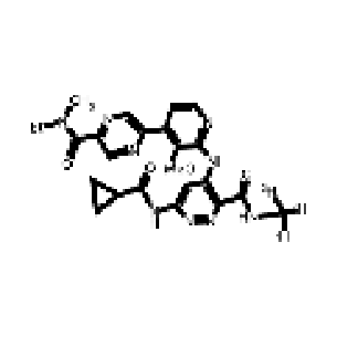 [2H]C([2H])([2H])NC(=O)c1nnc(NC(=O)C2CC2)cc1Nc1nccc(-c2cnc(C(=O)N(C)CC)cn2)c1OC